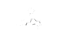 CCC(CN)Oc1cc2cn[nH]c2cc1C(=O)O.Cl.Cl